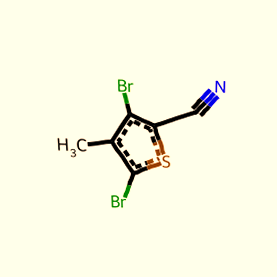 Cc1c(Br)sc(C#N)c1Br